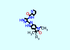 CCN1C(=O)C(C)(C)c2cc3[nH]c(-c4n[nH]cc4NC(=O)c4ccccn4)nc3cc21